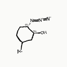 CC(=O)C1CC[C@H](N=[N+]=[N-])[C@@H](O)C1